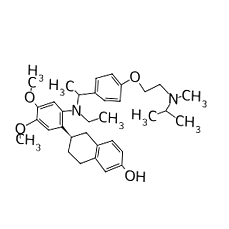 CCN(c1cc(OC)c(OC)cc1[C@@H]1CCc2cc(O)ccc2C1)C(C)c1ccc(OCCN(C)C(C)C)cc1